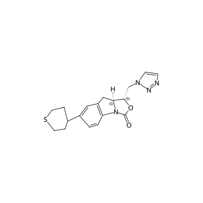 O=C1O[C@@H](Cn2ccnn2)[C@@H]2Cc3cc(C4CCSCC4)ccc3N12